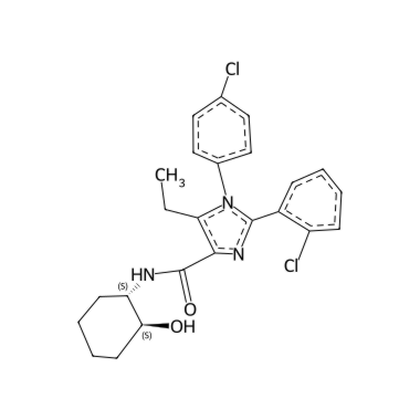 CCc1c(C(=O)N[C@H]2CCCC[C@@H]2O)nc(-c2ccccc2Cl)n1-c1ccc(Cl)cc1